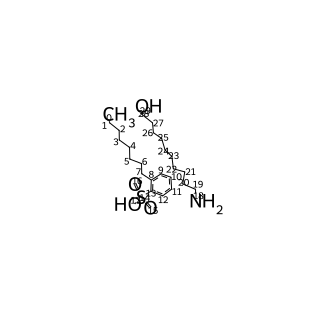 CCCCCCCCc1ccccc1S(=O)(=O)O.NCCCCCCCCCCO